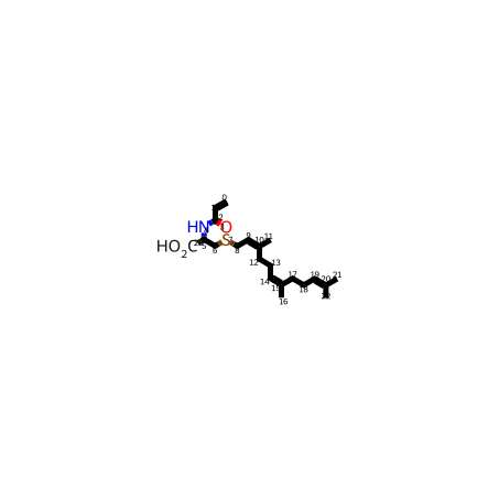 C=CC(=O)NC(CSCC=C(C)CCC=C(C)CCC=C(C)C)C(=O)O